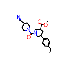 CCc1ccc(C2CC(C(=O)OC)CN(C(=O)N3CCC(C#N)CC3)C2)cc1